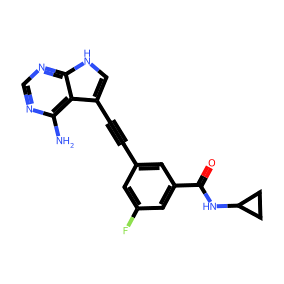 Nc1ncnc2[nH]cc(C#Cc3cc(F)cc(C(=O)NC4CC4)c3)c12